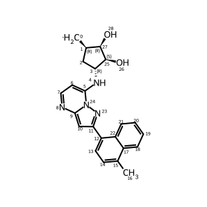 [CH2][C@@H]1C[C@@H](Nc2ccnc3cc(-c4ccc(C)c5ccccc45)nn23)[C@H](O)[C@@H]1O